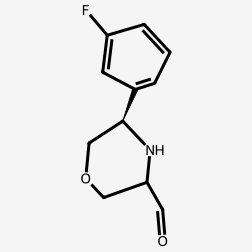 O=CC1COC[C@@H](c2cccc(F)c2)N1